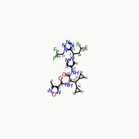 Cc1nonc1C(=O)N[C@H](C(=O)Nc1cnn(C(CC(F)F)c2nnnn2CC(F)F)c1)C(C1CC1)C1CC1